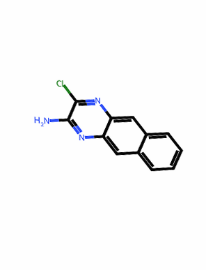 Nc1nc2cc3ccccc3cc2nc1Cl